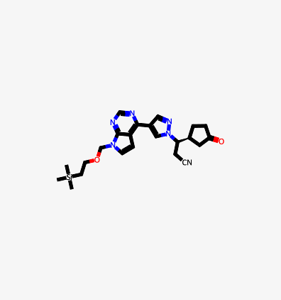 C[Si](C)(C)CCOCn1ccc2c(-c3cnn(C(CC#N)[C@H]4CCC(=O)C4)c3)ncnc21